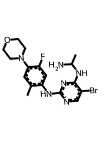 Cc1cc(N2CCOCC2)c(F)cc1Nc1ncc(Br)c(NC(C)N)n1